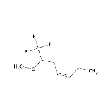 CC/C=C\CC(OC)C(F)(F)F